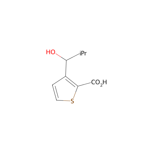 CC(C)C(O)c1ccsc1C(=O)O